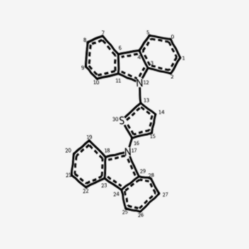 c1ccc2c(c1)c1ccccc1n2-c1ccc(-n2c3ccccc3c3ccccc32)s1